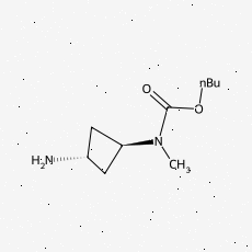 CCCCOC(=O)N(C)[C@H]1C[C@H](N)C1